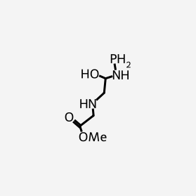 COC(=O)CNCC(O)NP